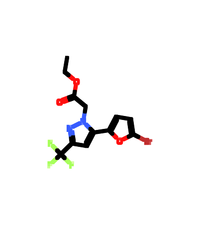 CCOC(=O)Cn1nc(C(F)(F)F)cc1-c1ccc(Br)o1